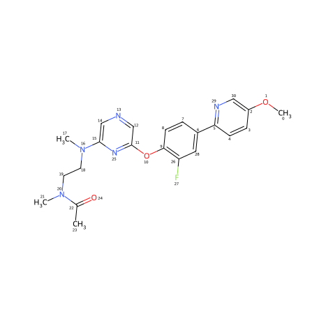 COc1ccc(-c2ccc(Oc3cncc(N(C)CCN(C)C(C)=O)n3)c(F)c2)nc1